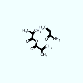 C=C(C)C(=O)OC(=O)C(=C)C.C=CC(N)=O